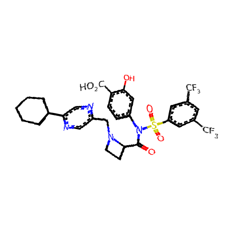 O=C(O)c1ccc(N(C(=O)C2CCN2Cc2cnc(C3CCCCC3)cn2)S(=O)(=O)c2cc(C(F)(F)F)cc(C(F)(F)F)c2)cc1O